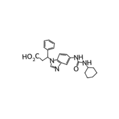 O=C(O)CC(c1ccccc1)n1cnc2cc(NC(=O)NC3CCCCC3)ccc21